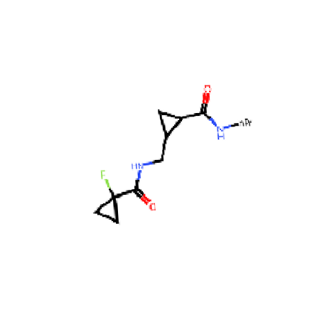 CCCNC(=O)C1CC1CNC(=O)C1(F)CC1